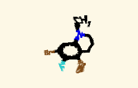 C=CN1CCCc2c1cc(Br)c(F)c2Br